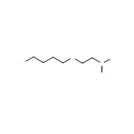 CNCCCCOCCN(C)C